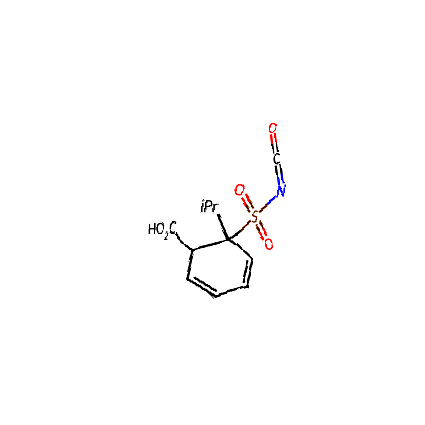 CC(C)C1(S(=O)(=O)N=C=O)C=CC=CC1C(=O)O